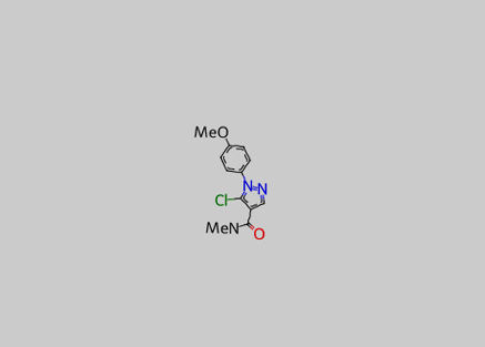 CNC(=O)c1cnn(-c2ccc(OC)cc2)c1Cl